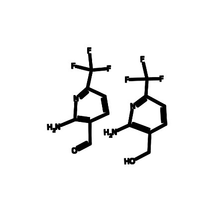 Nc1nc(C(F)(F)F)ccc1C=O.Nc1nc(C(F)(F)F)ccc1CO